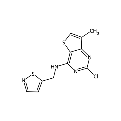 Cc1csc2c(NCc3ccns3)nc(Cl)nc12